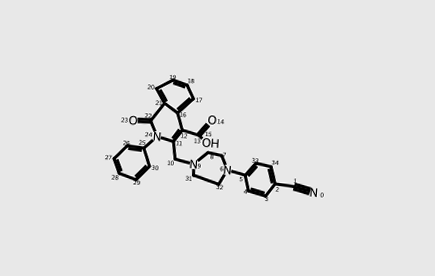 N#Cc1ccc(N2CCN(Cc3c(C(=O)O)c4ccccc4c(=O)n3-c3ccccc3)CC2)cc1